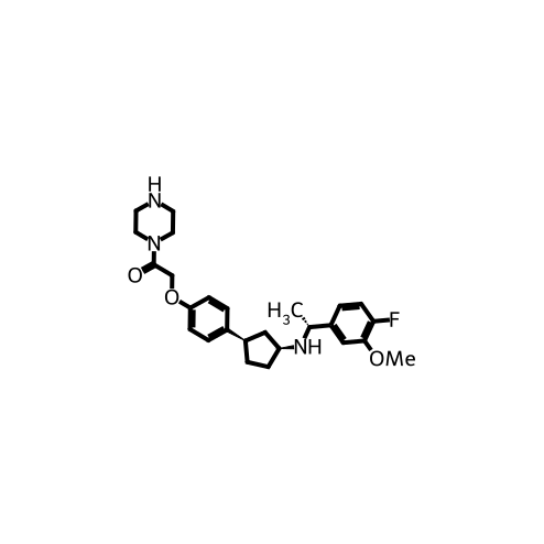 COc1cc([C@@H](C)N[C@H]2CC[C@@H](c3ccc(OCC(=O)N4CCNCC4)cc3)C2)ccc1F